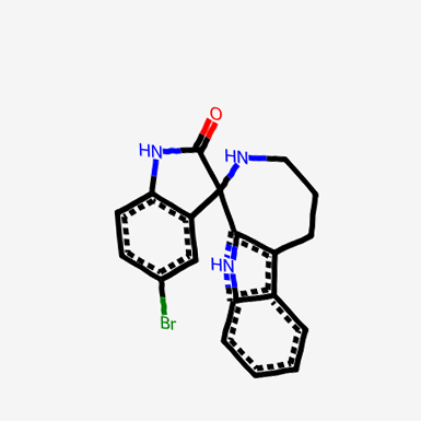 O=C1Nc2ccc(Br)cc2C12NCCCc1c2[nH]c2ccccc12